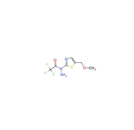 COCc1cnc(N(N)C(=O)C(F)(F)F)s1